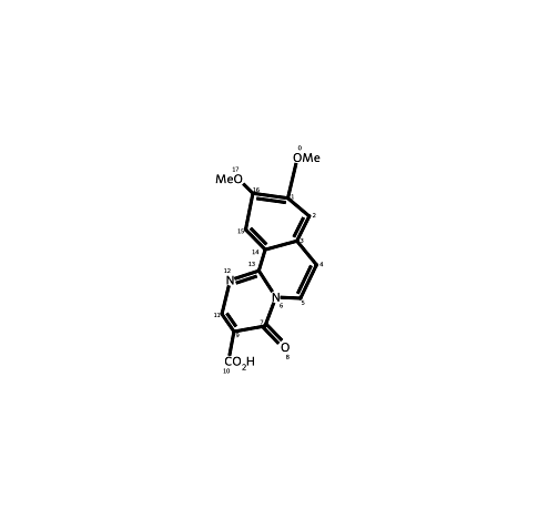 COc1cc2ccn3c(=O)c(C(=O)O)cnc3c2cc1OC